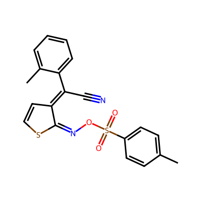 Cc1ccc(S(=O)(=O)ON=C2SC=CC2=C(C#N)c2ccccc2C)cc1